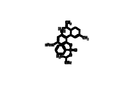 C=C(C)C1CCC(C)=CC1c1c(O)cc(CCCCC)cc1OP(=O)(OC(C)OC(C)=O)c1ccccc1